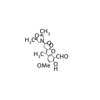 COc1cc2c(C)c(CC(=O)N3C[C@@H](C)O[C@H](C)C3)c(=O)oc2c(C=O)c1O